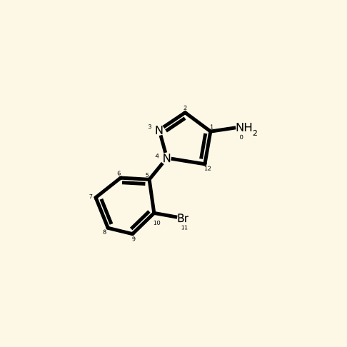 Nc1cnn(-c2ccccc2Br)c1